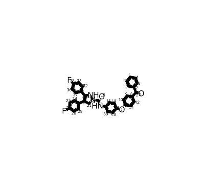 O=C(c1ccccc1)c1ccc(Oc2ccc(NC(=O)N3CC(c4ccc(F)cc4)=C(c4ccc(F)cc4)N3)cc2)cc1